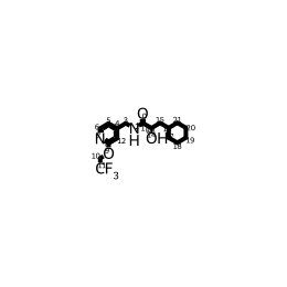 O=C(NCc1ccnc(OCC(F)(F)F)c1)[C@@H](O)CC1CCCCC1